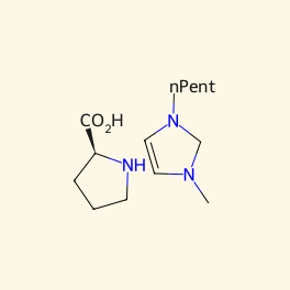 CCCCCN1C=CN(C)C1.O=C(O)[C@@H]1CCCN1